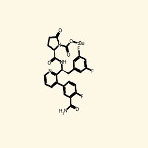 CC(C)(C)OC(=O)N1C(=O)CC[C@@H]1C(=O)N[C@@H](Cc1cc(F)cc(F)c1)c1ncccc1-c1ccc(F)c(C(N)=O)c1